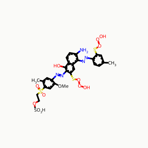 COc1cc(S(=O)(=O)CCOS(=O)(=O)O)c(C)cc1N=Nc1c(SOOO)cc2c(N=Nc3ccc(C)cc3SOOO)c(N)ccc2c1O